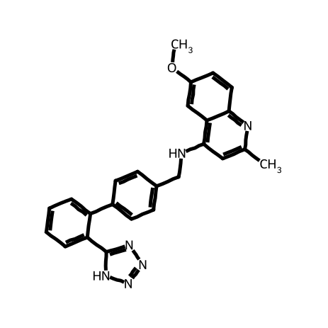 COc1ccc2nc(C)cc(NCc3ccc(-c4ccccc4-c4nnn[nH]4)cc3)c2c1